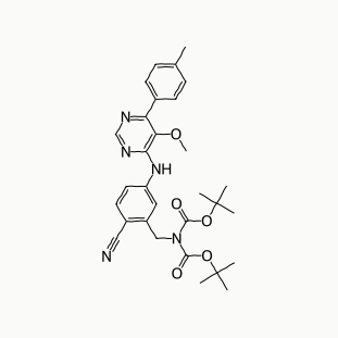 COc1c(Nc2ccc(C#N)c(CN(C(=O)OC(C)(C)C)C(=O)OC(C)(C)C)c2)ncnc1-c1ccc(C)cc1